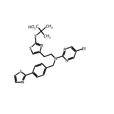 CCc1cnc(N(CCc2csc(SC(C)(C)C(=O)O)n2)Cc2ccc(-c3nccs3)cc2)nc1